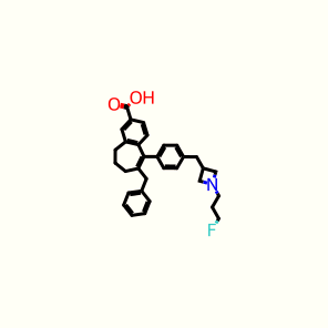 O=C(O)c1ccc2c(c1)CCCC(Cc1ccccc1)=C2c1ccc(CC2CN(CCCF)C2)cc1